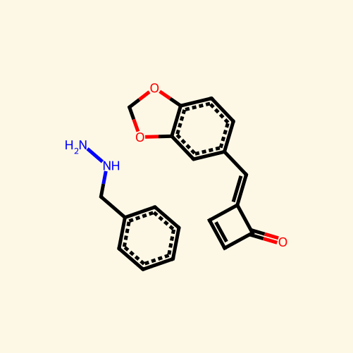 NNCc1ccccc1.O=C1C=CC1=Cc1ccc2c(c1)OCO2